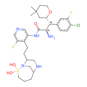 CC1(C)CCOC([C@H](c2ccc(Cl)c(F)c2)[C@@H](N)C(=O)Nc2cncc(F)c2CCC2CNC3CCCS(O)(O)N2C3)C1